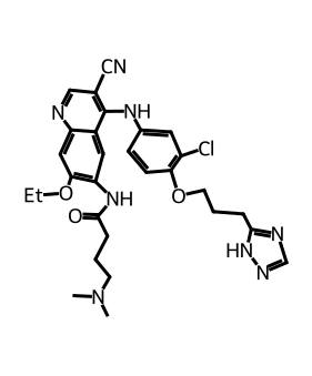 CCOc1cc2ncc(C#N)c(Nc3ccc(OCCCc4ncn[nH]4)c(Cl)c3)c2cc1NC(=O)CCCN(C)C